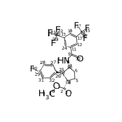 COC(=O)[C@H]1CC[C@@H](NC(=O)c2cc(C(F)(F)F)cc(C(F)(F)F)c2)[C@@H]1c1ccc(F)cc1